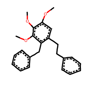 COc1[c]c(CCc2ccccc2)c(Cc2ccccc2)c(OC)c1OC